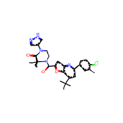 Cc1cc(-c2cc(C(C)(C)C)c3oc(C(=O)N4CCN(c5cn[nH]c5)C(=O)C4(C)C)cc3n2)ccc1Cl